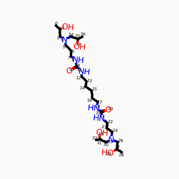 CC(O)CN(CCCNC(=O)NCCCCCCNC(=O)NCCCN(CC(C)O)CC(C)O)CC(C)O